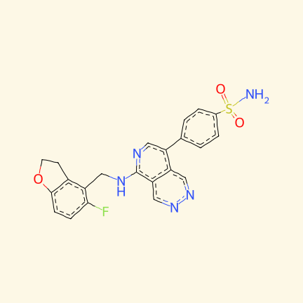 NS(=O)(=O)c1ccc(-c2cnc(NCc3c(F)ccc4c3CCO4)c3cnncc23)cc1